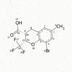 Cc1cc(Br)c2c(c1)C[C@@H](C(=O)O)[C@@H](C(F)(F)F)O2